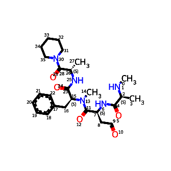 CN[C@@H](C)C(=O)N[C@@H](CC=O)C(=O)N(C)[C@@H](Cc1ccccc1)C(=O)N[C@@H](C)C(=O)N1CCCCC1